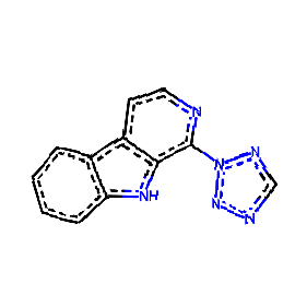 c1ccc2c(c1)[nH]c1c(-n3ncnn3)nccc12